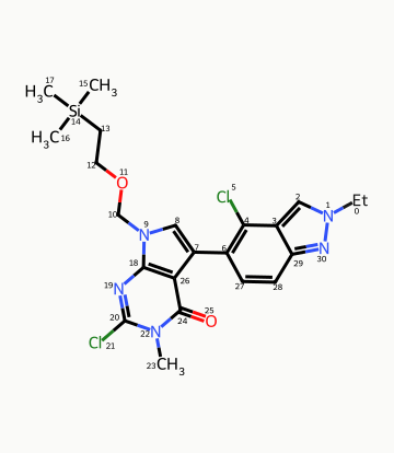 CCn1cc2c(Cl)c(-c3cn(COCC[Si](C)(C)C)c4nc(Cl)n(C)c(=O)c34)ccc2n1